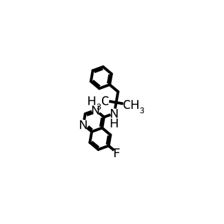 CC(C)(Cc1ccccc1)Nc1ncnc2ccc(F)cc12